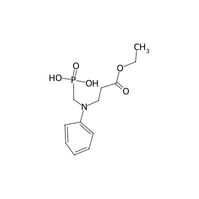 CCOC(=O)CCN(CP(=O)(O)O)c1ccccc1